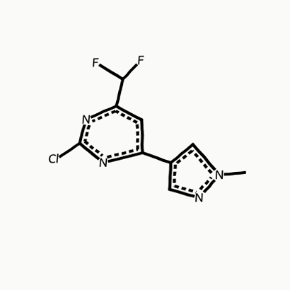 Cn1cc(-c2cc(C(F)F)nc(Cl)n2)cn1